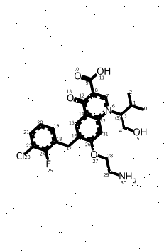 CC(C)[C@@H](CO)n1cc(C(=O)O)c(=O)c2cc(Cc3cccc(Cl)c3F)c(OCCN)cc21